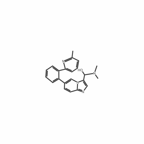 Cc1cccc(-c2ccccc2-c2ccc3ncc(C(O)N(C)C)n3c2)n1